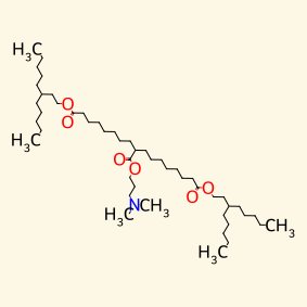 CCCCCC(CCCCC)CCOC(=O)CCCCCCCC(CCCCCCCC(=O)OCCC(CCCCC)CCCCC)C(=O)OCCCN(C)C